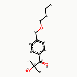 CCCCOCc1ccc(C(=O)C(C)(C)O)cc1